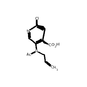 C=CCN(C(C)=O)c1cnc(Cl)cc1C(=O)O